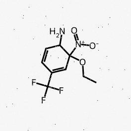 CCOC1([N+](=O)[O-])C=C(C(F)(F)F)C=CC1N